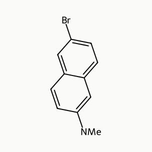 CNc1ccc2cc(Br)ccc2c1